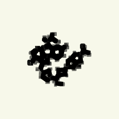 CC[C@H](C1CC(N2CC3CN(C(C)=O)C[C@@H]3C2)C1)N1CC[C@H](Cc2cn(-c3ccc(F)cc3C(=O)N(C)C(C)C)c3cncc(Cl)c23)C1